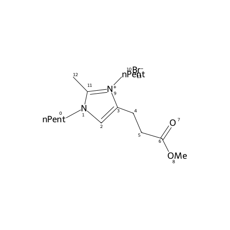 CCCCCn1cc(CCC(=O)OC)[n+](CCCCC)c1C.[Br-]